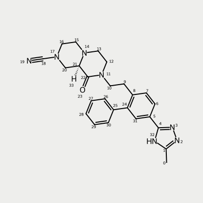 Cc1nnc(-c2ccc(CCN3CCN4CCN(C#N)C[C@@H]4C3=O)c(-c3ccccc3)c2)[nH]1